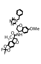 COc1ccc2c(c1)O[C@@H](c1nnnn1Cc1ccccc1)C[C@H]2NC(=O)[C@@]1(C)COc2cc3c(cc21)OC(F)(F)O3